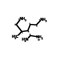 CC(CN)CCCN.NCN